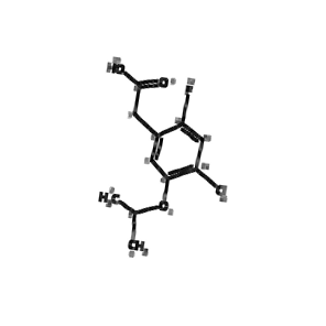 CC(C)Oc1cc(CC(=O)O)c(F)cc1Cl